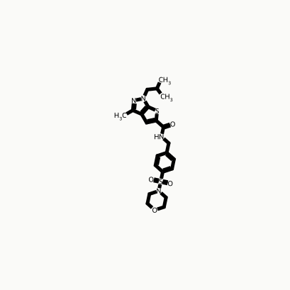 Cc1nn(CC(C)C)c2sc(C(=O)NCc3ccc(S(=O)(=O)N4CCOCC4)cc3)cc12